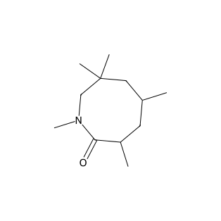 CC1CC(C)C(=O)N(C)CC(C)(C)C1